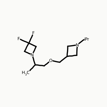 CC(C)N1CC(COCC(C)N2CC(F)(F)C2)C1